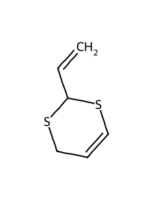 C=CC1SC=CCS1